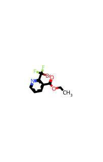 CCOC(=O)c1cccnc1C(F)(F)Br